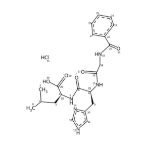 CC(C)C[C@H](NC(=O)[C@H](Cc1c[nH]cn1)NC(=O)CNC(=O)c1ccccc1)C(=O)O.Cl